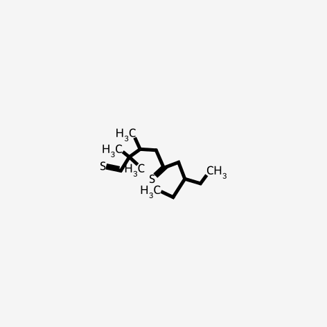 CCC(CC)CC(=S)CC(C)C(C)(C)C=S